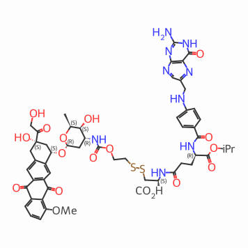 COc1cccc2c1C(=O)c1cc3c(cc1C2=O)C[C@@](O)(C(=O)CO)C[C@@H]3O[C@H]1C[C@@H](NC(=O)OCCSSC[C@@H](NC(=O)CC[C@@H](NC(=O)c2ccc(NCc3cnc4nc(N)[nH]c(=O)c4n3)cc2)C(=O)OC(C)C)C(=O)O)[C@H](O)[C@H](C)O1